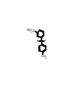 Cc1ccc(C(F)(F)c2cccc(C(=O)O)c2)cc1